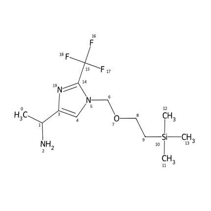 CC(N)c1cn(COCC[Si](C)(C)C)c(C(F)(F)F)n1